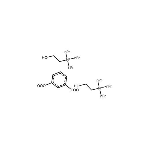 CCC[N+](CCC)(CCC)CCO.CCC[N+](CCC)(CCC)CCO.O=C([O-])c1cccc(C(=O)[O-])c1